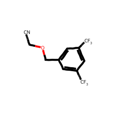 N#CCOCc1cc(C(F)(F)F)cc(C(F)(F)F)c1